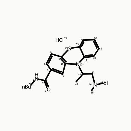 CCCCNC(=O)c1ccc2c(c1)N(C(C)CN(C)CC)c1ccccc1S2.Cl